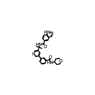 CC(C)(NC(=O)c1ccc2[nH]ncc2c1)c1cncc(-c2cccc(C(=O)NC3CCOCC3)c2)c1